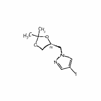 CC1(C)OC[C@H](Cn2cc(I)cn2)O1